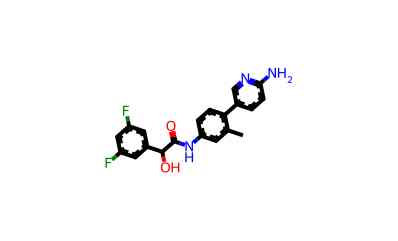 Cc1cc(NC(=O)C(O)c2cc(F)cc(F)c2)ccc1-c1ccc(N)nc1